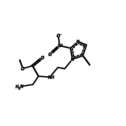 COC(=O)C(CN)NCCn1c(C)cnc1[N+](=O)[O-]